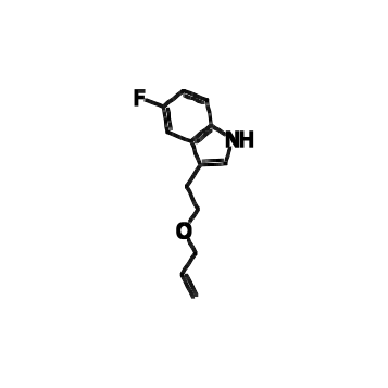 C=CCOCCc1c[nH]c2ccc(F)cc12